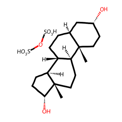 C[C@]12CC[C@@H](O)C[C@@H]1CC[C@@H]1[C@@H]2CC[C@]2(C)[C@H](O)CC[C@@H]12.O=S(=O)(O)OS(=O)(=O)O